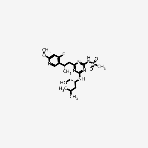 COc1cc(F)c([C@@H](C)Cc2nc(N[C@@H](CO)CC(C)C)nc(NS(C)(=O)=O)n2)cn1